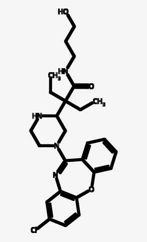 CCC(CC)(C(=O)NCCCO)C1CN(C2=Nc3cc(Cl)ccc3Oc3ccccc32)CCN1